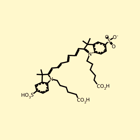 CC1(C)C(/C=C/C=C/C=C/C=C2\N(CCCCCC(=O)O)c3ccc(S(=O)(=O)O)cc3C2(C)C)=[N+](CCCCCC(=O)O)c2ccc(S(=O)(=O)[O-])cc21